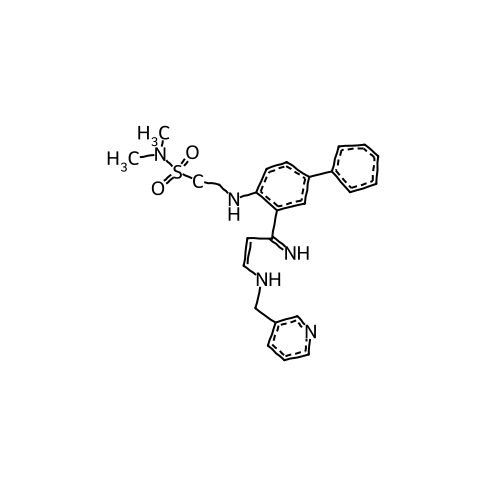 CN(C)S(=O)(=O)CCNc1ccc(-c2ccccc2)cc1C(=N)/C=C\NCc1cccnc1